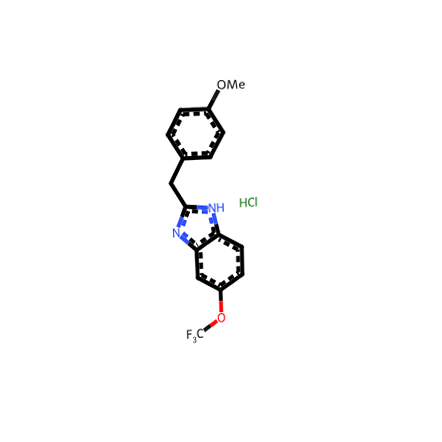 COc1ccc(Cc2nc3cc(OC(F)(F)F)ccc3[nH]2)cc1.Cl